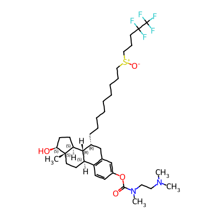 CN(C)CCN(C)C(=O)Oc1ccc2c(c1)C[C@@H](CCCCCCCCC[S+]([O-])CCCC(F)(F)C(F)(F)F)[C@@H]1[C@@H]2CC[C@]2(C)[C@@H](O)CC[C@@H]12